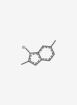 CCn1c(C)cc2ccc(C)cc21